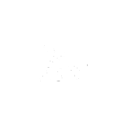 c1ccc(N2c3cc(-c4ccc5c(c4)c4ccccc4n5-c4ccccc4)cc4c3B(c3ccc5c(ccc6ccccc65)c32)c2ccc3c(ccc5ccccc53)c2N4c2ccccc2)cc1